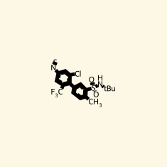 Cc1ccc(-c2c(Cl)cc(N=S)cc2C(F)(F)F)cc1S(=O)(=O)NC(C)(C)C